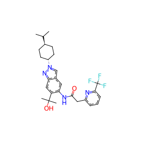 CC(C)[C@H]1CC[C@H](n2cc3cc(NC(=O)Cc4cccc(C(F)(F)F)n4)c(C(C)(C)O)cc3n2)CC1